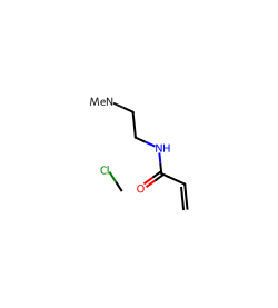 C=CC(=O)NCCNC.CCl